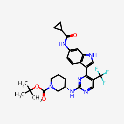 CC(C)(C)OC(=O)N1CCC[C@H](Nc2ncc(C(F)(F)F)c(-c3c[nH]c4cc(NC(=O)C5CC5)ccc34)n2)C1